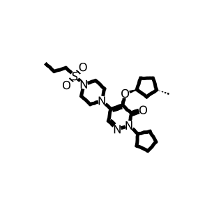 CCCS(=O)(=O)N1CCN(c2cnn(C3CCCC3)c(=O)c2O[C@H]2CC[C@H](C)C2)CC1